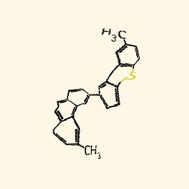 Cc1ccc2ccc3ccc(-c4ccc5sc6ccc(C)cc6c5c4)cc3c2c1